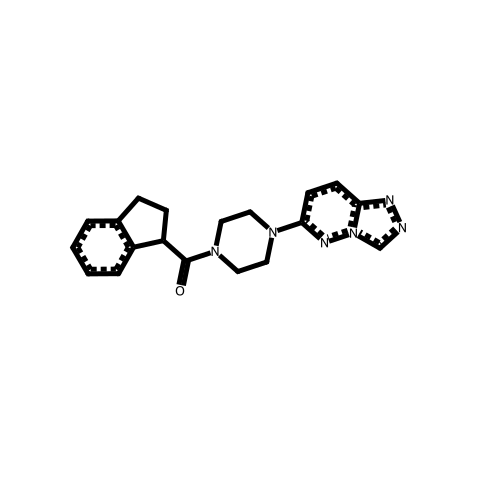 O=C(C1CCc2ccccc21)N1CCN(c2ccc3nncn3n2)CC1